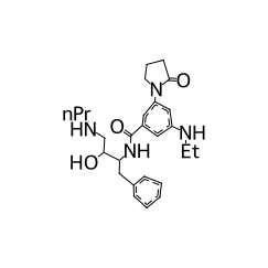 CCCNCC(O)C(Cc1ccccc1)NC(=O)c1cc(NCC)cc(N2CCCC2=O)c1